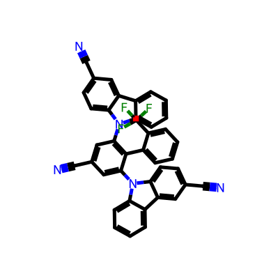 N#Cc1cc(-n2c3ccccc3c3cc(C#N)ccc32)c(-c2ccccc2C(F)(F)F)c(-n2c3ccccc3c3cc(C#N)ccc32)c1